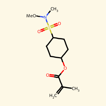 C=C(C)C(=O)OC1CCC(S(=O)(=O)N(C)OC)CC1